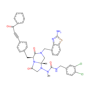 CC(C)N(C(=O)NCc1ccc(Cl)c(Cl)c1)N1CC(=O)N2[C@@H](Cc3ccc(C#CC(=O)c4ccccc4)cc3)C(=O)N(Cc3cccc4sc(N)nc34)C[C@@H]21